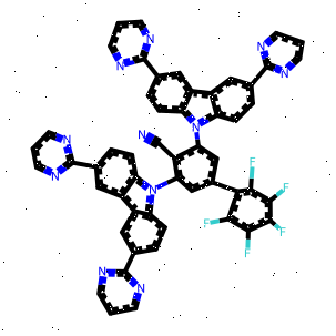 N#Cc1c(-n2c3ccc(-c4ncccn4)cc3c3cc(-c4ncccn4)ccc32)cc(-c2c(F)c(F)c(F)c(F)c2F)cc1-n1c2ccc(-c3ncccn3)cc2c2cc(-c3ncccn3)ccc21